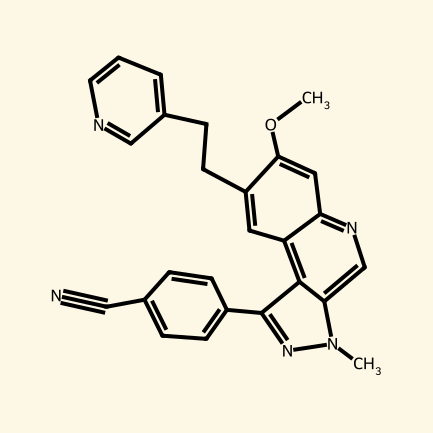 COc1cc2ncc3c(c(-c4ccc(C#N)cc4)nn3C)c2cc1CCc1cccnc1